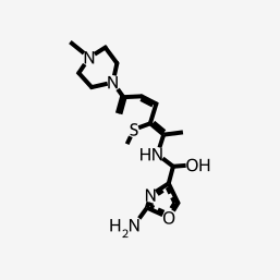 C=C(/C=C\C(SC)=C(/C)NC(O)c1coc(N)n1)N1CCN(C)CC1